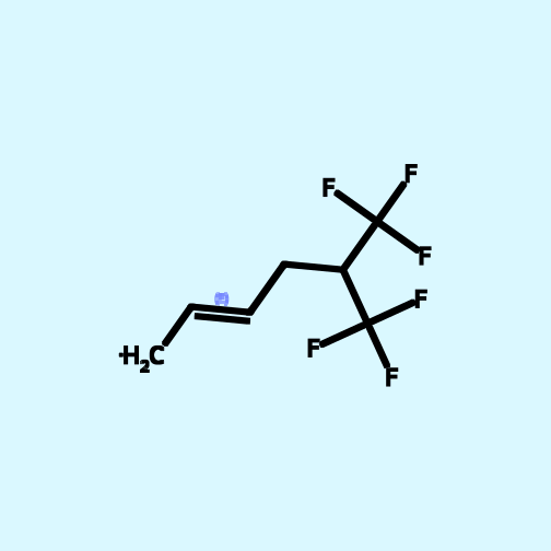 [CH2]/C=C/CC(C(F)(F)F)C(F)(F)F